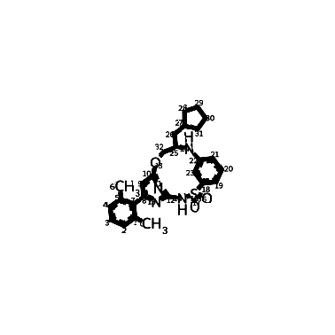 Cc1cccc(C)c1-c1cc2nc(n1)NS(=O)(=O)c1cccc(c1)NC(CC1CCCC1)CO2